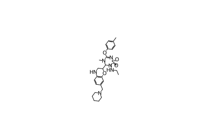 CCNN1C(C2CNc3ccc(CN4CCCCC4)cc3O2)N(C)C(Oc2ccc(C)cc2)=NS1(=O)=O